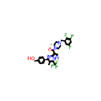 Cc1c(-c2ccc(CO)cc2)nc2c(C(=O)N3CCN(Cc4cc(F)cc(F)c4F)C[C@H]3C)cnn2c1C(F)(F)F